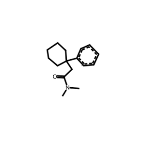 CN(C)C(=O)CC1(c2[c]cccc2)CCCCC1